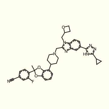 CC1(c2ccc(C#N)cc2F)Oc2cccc(C3CCN(Cc4nc5cc(-c6nnc(C7CC7)[nH]6)ccc5n4CC4CCO4)CC3)c2O1